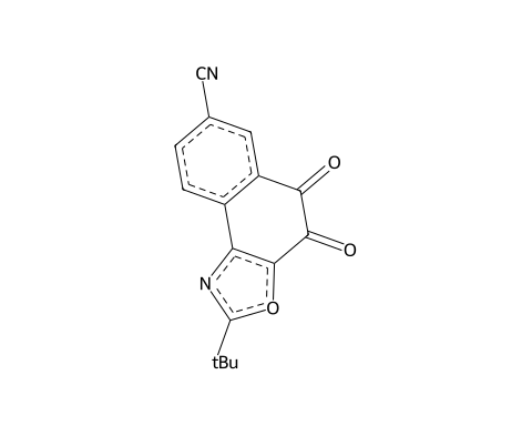 CC(C)(C)c1nc2c(o1)C(=O)C(=O)c1cc(C#N)ccc1-2